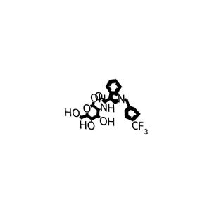 O=C(N[C@H]1C(O)OC(CO)[C@@H](O)C1O)c1cn(Cc2ccc(C(F)(F)F)cc2)c2ccccc12